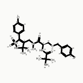 CN(CC1=C(c2ccc(Cl)cc2)S(=O)(=O)NC1(C)C)C(=O)[C@@H](COCc1ccc(F)cc1)NC(=O)C(C)(C)N